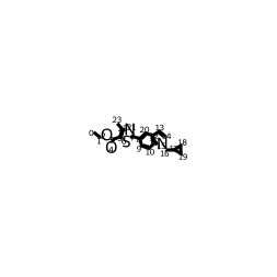 CCOC(=O)c1sc(-c2ccc3c(ccn3CC3CC3)c2)nc1C